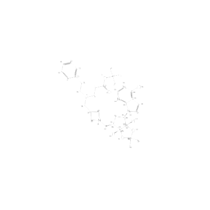 CC(C)(C)OC(=O)CCC(CCc1ccccc1)CC1CN(C[C@H]2C[C@@H](n3ccc4c(Cl)ncnc43)[C@@H]3OC(C)(C)O[C@H]23)C1